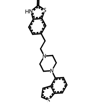 O=c1[nH]c2ccc(CCN3CCN(c4cccc5sccc45)CC3)cc2s1